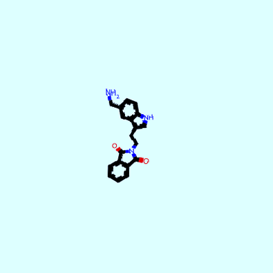 NCc1ccc2[nH]cc(CCN3C(=O)c4ccccc4C3=O)c2c1